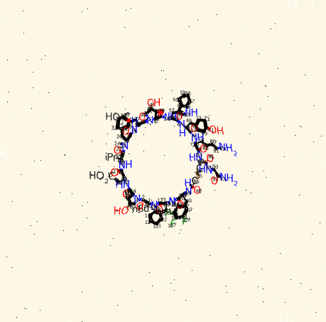 CCCC[C@H]1C(=O)N2C[C@H](O)C[C@@H]2C(=O)N[C@@H](CC(=O)O)C(=O)N[C@@H](C(C)C)C(=O)N(C)C(Cc2ccccc2)C(=O)N[C@@H](CCC(=O)O)C(=O)N2C[C@H](O)C[C@H]2C(=O)N[C@@H](Cc2c[nH]c3ccccc23)C(=O)N[C@@H](Cc2ccc(O)cc2)C(=O)N[C@@H](CCCCN)C(=O)N[C@H](C(=O)NCC(N)=O)CSCC(=O)N[C@@H](Cc2cc(F)c(F)c(F)c2)C(=O)N(C)[C@@H](Cc2ccccc2)C(=O)N1C